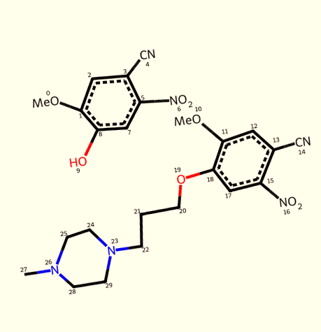 COc1cc(C#N)c([N+](=O)[O-])cc1O.COc1cc(C#N)c([N+](=O)[O-])cc1OCCCN1CCN(C)CC1